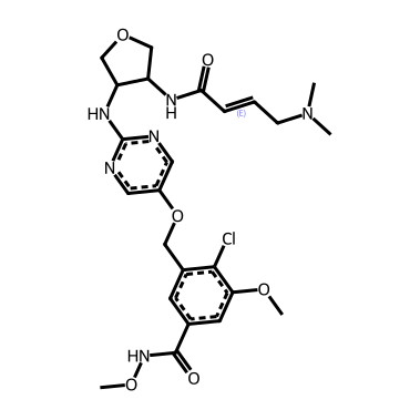 CONC(=O)c1cc(COc2cnc(NC3COCC3NC(=O)/C=C/CN(C)C)nc2)c(Cl)c(OC)c1